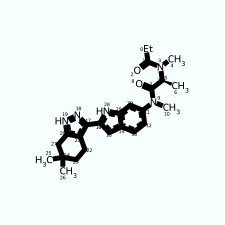 CCC(=O)N(C)[C@@H](C)C(=O)N(C)c1ccc2cc(-c3n[nH]c4c3CCC(C)(C)C4)[nH]c2c1